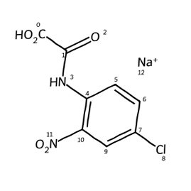 O=C(O)C(=O)Nc1ccc(Cl)cc1[N+](=O)[O-].[Na+]